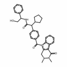 CN1Cc2c(c3ccccc3n2C(=O)c2ccc(C(C(=O)NC(CO)c3ccccc3)C3CCCC3)cc2)C(=O)N1C